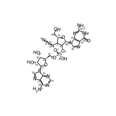 [N-]=[N+]=NC1C(OP(=O)(O)OC[C@H]2O[C@@H](n3cnc4c(N)ncnc43)[C@H](O)[C@@H]2O)[C@H](n2cnc3c(=O)[nH]c(N)nc32)O[C@@H]1CO